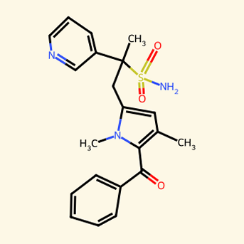 Cc1cc(CC(C)(c2cccnc2)S(N)(=O)=O)n(C)c1C(=O)c1ccccc1